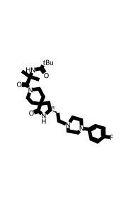 CC(C)(C)C(=O)NC(C)(C)C(=O)N1CCC2(CC1)C[C@H](CCN1CCN(c3ccc(F)cc3)CC1)NC2=O